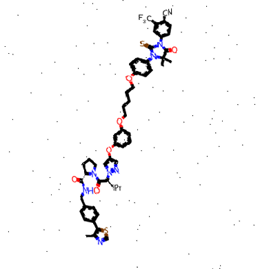 Cc1ncsc1-c1ccc(CNC(=O)[C@@H]2CCCN2C(=O)[C@H](C(C)C)n2cc(Oc3cccc(OCCCCCOc4ccc(N5C(=S)N(c6ccc(C#N)c(C(F)(F)F)c6)C(=O)C5(C)C)cc4)c3)cn2)cc1